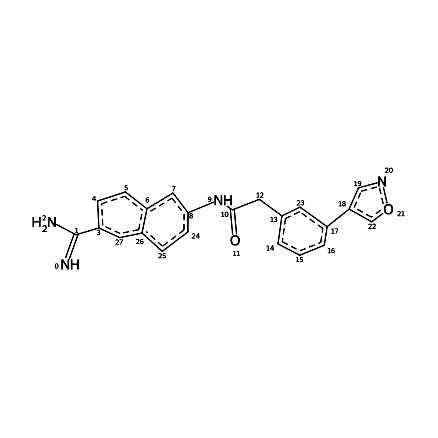 N=C(N)c1ccc2cc(NC(=O)Cc3cccc(-c4cnoc4)c3)ccc2c1